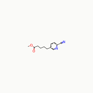 COC(=O)CCCCc1ccc(C#N)nc1